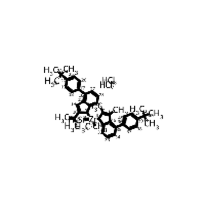 CC1=C(C)[CH]([Zr]([CH3])([CH3])(=[SiH2])[CH]2C(C(C)C)=Cc3c(-c4ccc(C(C)(C)C)cc4)cccc32)c2cccc(-c3ccc(C(C)(C)C)cc3)c21.Cl.Cl